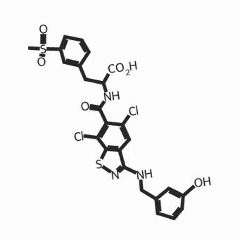 CS(=O)(=O)c1cccc(CC(NC(=O)c2c(Cl)cc3c(NCc4cccc(O)c4)nsc3c2Cl)C(=O)O)c1